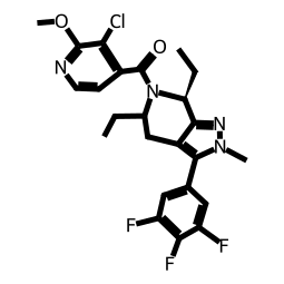 CCC1Cc2c(nn(C)c2-c2cc(F)c(F)c(F)c2)[C@H](CC)N1C(=O)c1ccnc(OC)c1Cl